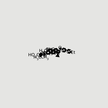 CCN1CCN(C2CCN(C(=O)[C@@H]3C[C@@H](C4CC4)[C@H]4C3CC[C@]3(C)[C@@H]4CC[C@@H]4[C@@]5(C)CC[C@H](OC(=O)[C@H]6C[C@@H](C(=O)O)C6(C)C)C(C)(C)[C@@H]5CC[C@]43C)CC2)CC1